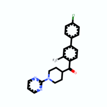 O=C(c1ccc(-c2ccc(Cl)cc2)cc1C(F)(F)F)C1CCN(c2ncccn2)CC1